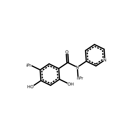 CCCN(C(=O)c1cc(C(C)C)c(O)cc1O)c1cccnc1